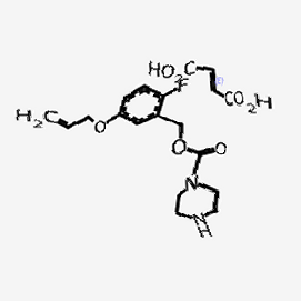 C=CCOc1ccc(F)c(COC(=O)N2CCNCC2)c1.O=C(O)/C=C/C(=O)O